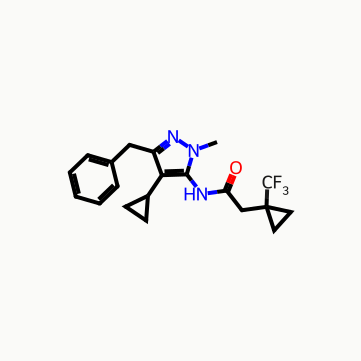 Cn1nc(Cc2ccccc2)c(C2CC2)c1NC(=O)CC1(C(F)(F)F)CC1